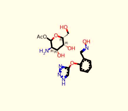 CC(=O)OC1O[C@H](CO)[C@H](O)[C@H](O)[C@H]1N.ON=Cc1ccccc1Oc1c[nH]nn1